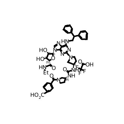 CCNC(=O)[C@H]1O[C@@H](n2cnc3c(NCC(c4ccccc4)c4ccccc4)nc(N4CC[C@@H](NC(=O)N[C@@H]5CCN(C(=O)c6ccc(C(=O)O)cc6)C5)C4)nc32)[C@H](O)[C@@H]1O.O=C(O)C(F)(F)F